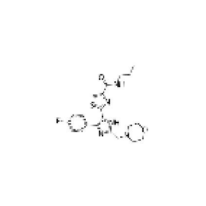 CCCNC(=O)c1csc(-c2[nH]c(CN3CCOCC3)nc2-c2ccc(F)cc2)n1